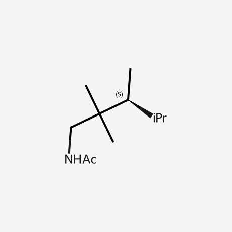 CC(=O)NCC(C)(C)[C@@H](C)C(C)C